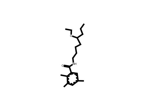 CCCC(CCCCNC(=O)c1cc(C)cc(C)c1C)OCC